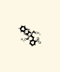 CCN1C(=Cc2ccccc2[N+](=O)[O-])N(CC)c2nc3ccccc3nc21